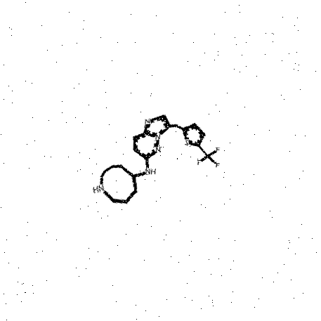 FC(F)(F)c1ccc(-c2cnc3ccc(NC4CCCNCC4)nn23)s1